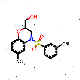 N#Cc1cccc(S(=O)(=O)N2CC(CO)Oc3ccc([N+](=O)[O-])cc32)c1